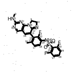 CNc1ncc2c(n1)N1CCN=C1C(c1c(C)ccc(NS(=O)(=O)c3c(F)cccc3F)c1F)=C2